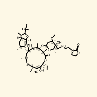 CC[C@H]1OC(=O)[C@H](C)[C@@H](O[C@H]2C[C@@](C)(OC)[C@](O)(CNCCN3CCOC3=O)[C@H](C)O2)[C@H](C)[C@@H](O[C@@H]2O[C@H](C)C[C@H]3[C@H]2OC(C(F)(F)F)N3C)[C@](C)(O)C[C@@H](C)CN[C@H](C)[C@@H](O)[C@]1(C)O